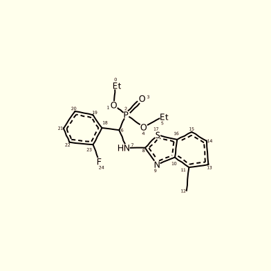 CCOP(=O)(OCC)C(Nc1nc2c(C)cccc2s1)c1ccccc1F